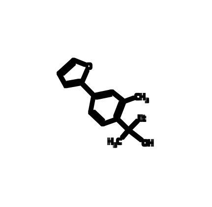 CCC(C)(O)c1ccc(-c2ccco2)cc1C